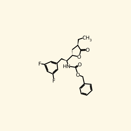 CC[C@@H]1C[C@@H]([C@H](Cc2cc(F)cc(F)c2)NC(=O)OCc2ccccc2)OC1=O